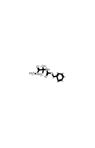 COC(=O)C(C)(C)NC(=O)OCc1ccccc1